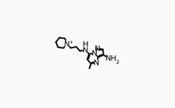 Cc1cc(NCCC[N+]2(C)CCCCC2)n2ncc(N)c2n1